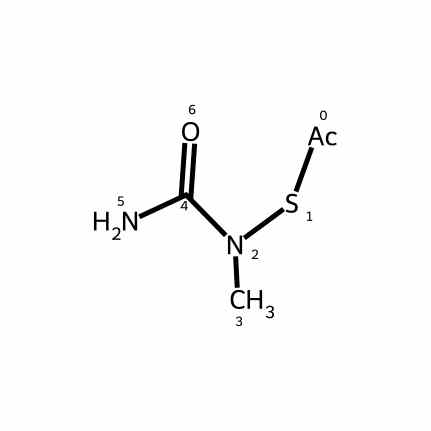 CC(=O)SN(C)C(N)=O